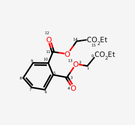 CCOC(=O)COC(=O)c1ccccc1C(=O)OCC(=O)OCC